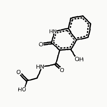 O=C(O)CNC(=O)c1c(O)c2ccccc2[nH]c1=O